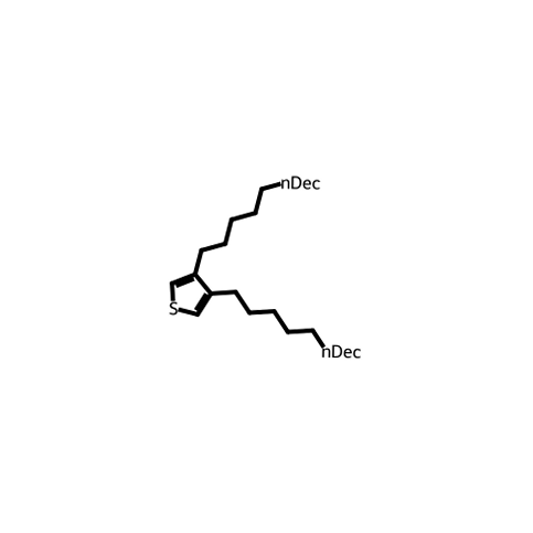 CCCCCCCCCCCCCCCc1cscc1CCCCCCCCCCCCCCC